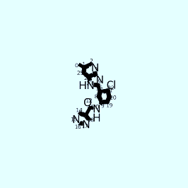 Cc1cnc2nc(-c3cc(NC(=O)c4cncnc4)ccc3Cl)[nH]c2c1